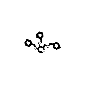 C1=CC(OCc2ccccc2)[C@H](OCc2ccccc2)C(COCc2ccccc2)O1